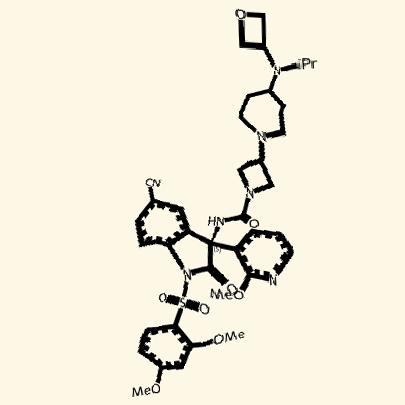 COc1ccc(S(=O)(=O)N2C(=O)[C@@](NC(=O)N3CC(N4CCC(N(C(C)C)C5COC5)CC4)C3)(c3cccnc3OC)c3cc(C#N)ccc32)c(OC)c1